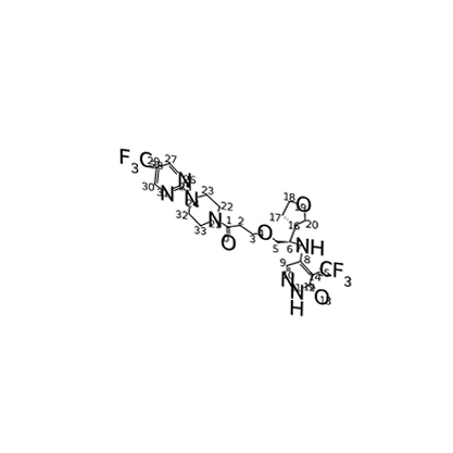 O=C(CCOC[C@H](Nc1cn[nH]c(=O)c1C(F)(F)F)[C@@H]1CCOC1)N1CCN(c2ncc(C(F)(F)F)cn2)CC1